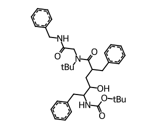 CC(C)(C)OC(=O)NC(Cc1ccccc1)C(O)CC(Cc1ccccc1)C(=O)N(CC(=O)NCc1ccccc1)C(C)(C)C